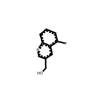 OCc1cnc2cccc(F)c2c1